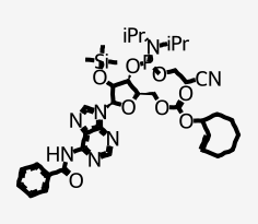 CC(C)N(C(C)C)P(OCCC#N)O[C@H]1C(O[Si](C)(C)C)[C@H](n2cnc3c(NC(=O)c4ccccc4)ncnc32)O[C@@H]1COC(=O)OC1/C=C/CCCCC1